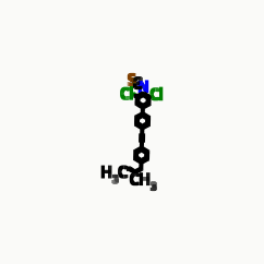 CCC(C)Cc1ccc(C#Cc2ccc(-c3cc(Cl)c(N=C=S)c(Cl)c3)cc2)cc1